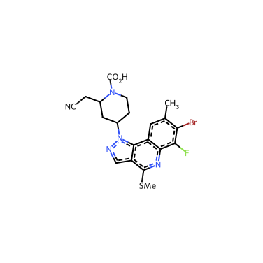 CSc1nc2c(F)c(Br)c(C)cc2c2c1cnn2C1CCN(C(=O)O)C(CC#N)C1